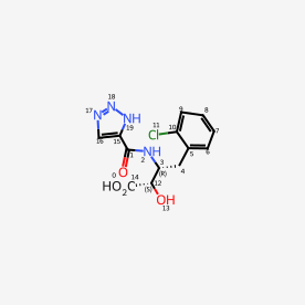 O=C(N[C@H](Cc1ccccc1Cl)[C@H](O)C(=O)O)c1cnn[nH]1